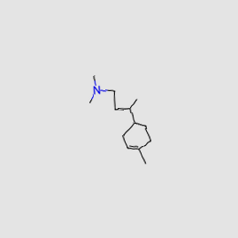 CC1=CCC(C(C)CCN(C)C)CC1